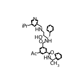 CC(=O)c1cc(C(=O)N[C@@H](Cc2ccccc2)[C@H](O)CNCc2cncc(C(C)C)c2)cc(C(=O)N[C@H](C)c2ccccc2)c1